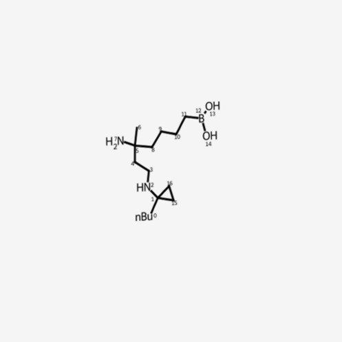 CCCCC1(NCCC(C)(N)CCCCB(O)O)CC1